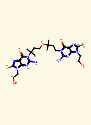 CC(C)(CCn1c(N)nc2c(nc(Br)n2CCO)c1=O)OCCC(C)(C)n1c(N)nc2c(nc(Br)n2CCO)c1=O